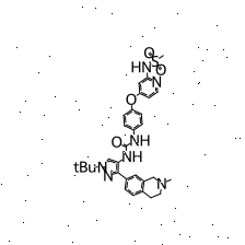 CN1CCc2ccc(-c3nn(C(C)(C)C)cc3NC(=O)Nc3ccc(Oc4ccnc(NS(C)(=O)=O)c4)cc3)cc2C1